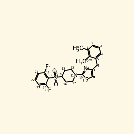 Cc1cccc(Cc2csc(N3CCC(S(=O)(=O)c4c(F)cccc4F)CC3)n2)c1C